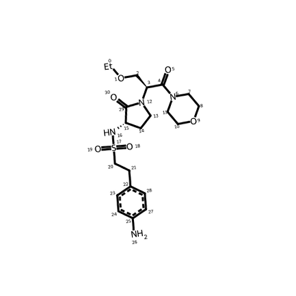 CCOC[C@@H](C(=O)N1CCOCC1)N1CC[C@H](NS(=O)(=O)CCc2ccc(N)cc2)C1=O